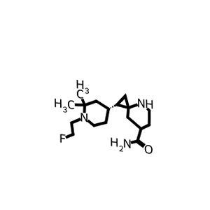 CC1(C)C[C@H](C2CC23CC(C(N)=O)CCN3)CCN1CCF